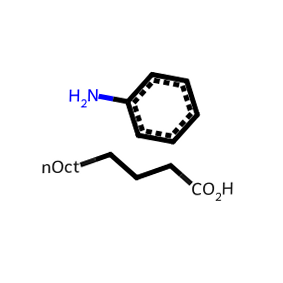 CCCCCCCCCCCC(=O)O.Nc1ccccc1